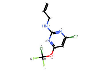 C=CCNc1nc(Cl)cc(OC(F)(F)Cl)n1